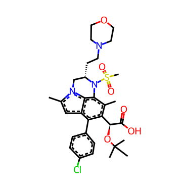 Cc1c([C@H](OC(C)(C)C)C(=O)O)c(-c2ccc(Cl)cc2)c2cc(C)n3c2c1N(S(C)(=O)=O)[C@@H](CCN1CCOCC1)C3